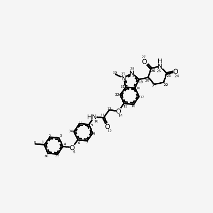 Cc1ccc(Oc2ccc(NC(=O)COc3ccc4c(C5CCC(=O)NC5=O)nn(C)c4c3)cc2)cc1